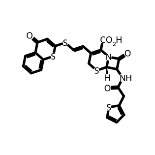 O=C(Cc1cccs1)NC1C(=O)N2C(C(=O)O)=C(C=CSc3cc(=O)c4ccccc4s3)CS[C@@H]12